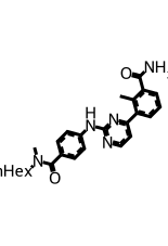 CCCCCCN(C)C(=O)c1ccc(Nc2nccc(-c3cccc(C(N)=O)c3C)n2)cc1